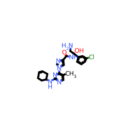 Cc1cnc(NC2CC=CCC2)nc1-n1cnc(C(=O)NC(O)(CN)c2cccc(Cl)c2)c1